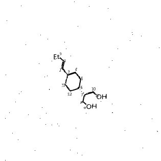 CCC=C[C@H]1CC[C@H](C(CO)CO)CC1